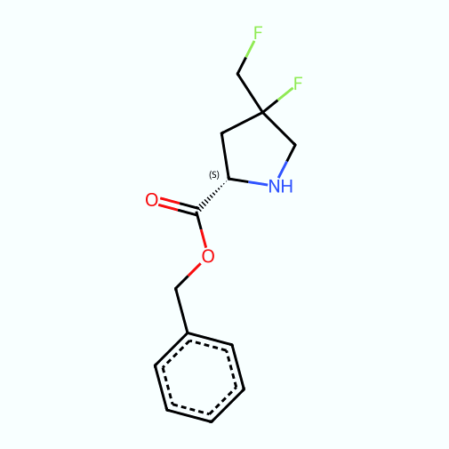 O=C(OCc1ccccc1)[C@@H]1CC(F)(CF)CN1